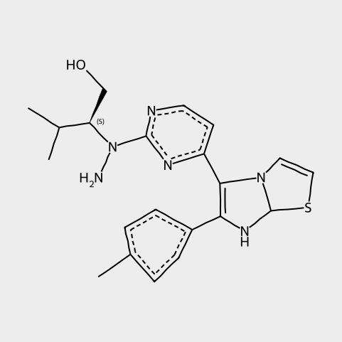 Cc1ccc(C2=C(c3ccnc(N(N)[C@H](CO)C(C)C)n3)N3C=CSC3N2)cc1